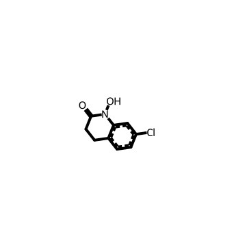 O=C1CCc2ccc(Cl)cc2N1O